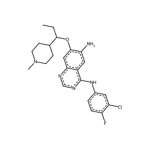 CCC(Oc1cc2ncnc(Nc3ccc(F)c(Cl)c3)c2cc1N)C1CCN(C)CC1